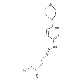 CC(C)(C)OC(=O)CCC=NNc1ccc(N2CCOCC2)nn1